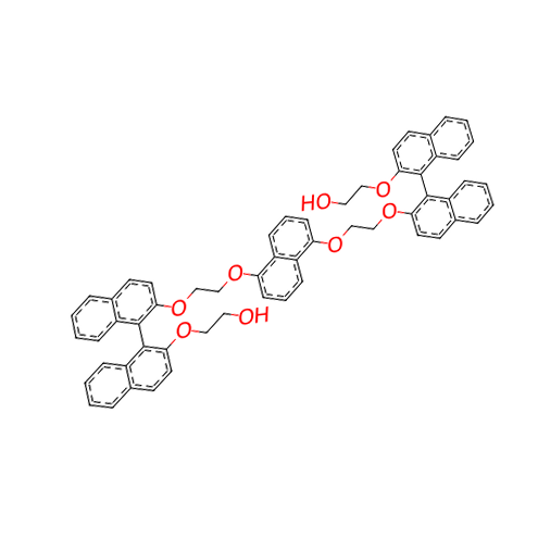 OCCOc1ccc2ccccc2c1-c1c(OCCOc2cccc3c(OCCOc4ccc5ccccc5c4-c4c(OCCO)ccc5ccccc45)cccc23)ccc2ccccc12